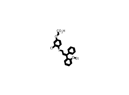 CCOc1ccccc1C(=CCSc1ccc(OCC(=O)O)cc1Cl)c1ccccc1